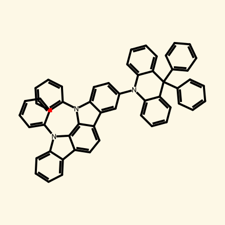 c1ccc(-n2c3ccccc3c3ccc4c5cc(N6c7ccccc7C(c7ccccc7)(c7ccccc7)c7ccccc76)ccc5n(-c5ccccc5)c4c32)cc1